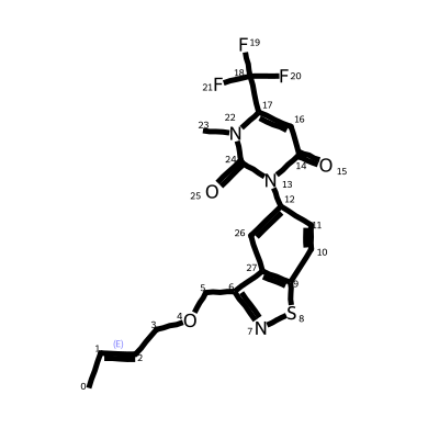 C/C=C/COCc1nsc2ccc(-n3c(=O)cc(C(F)(F)F)n(C)c3=O)cc12